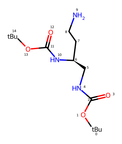 CC(C)(C)OC(=O)NC[C@H](CCN)NC(=O)OC(C)(C)C